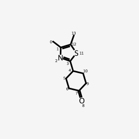 Cc1nc(C2CCC(=O)CC2)sc1C